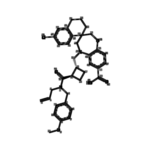 C=CCN(Cc1ccc(OC)cc1)C(=O)[C@@H]1CC[C@H]1CN1CC2(CCCc3cc(Cl)ccc32)COc2ccc(C(=O)O)cc21